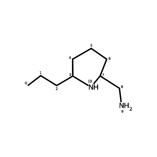 CCCC1CCCC(CN)N1